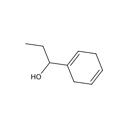 CCC(O)C1=CCC=CC1